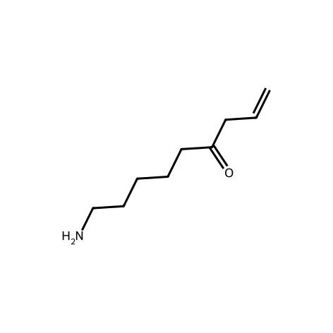 C=CCC(=O)CCCCCN